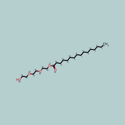 CCCCCCCCCCCCCCCC(=O)OCCOCCOCCO